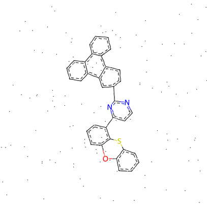 c1ccc2c(c1)Oc1cccc(-c3ccnc(-c4ccc5c6ccccc6c6ccccc6c5c4)n3)c1S2